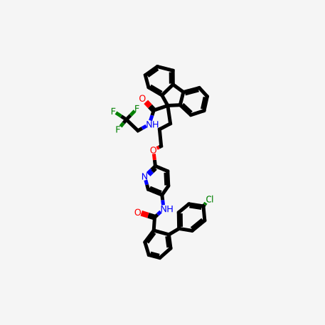 O=C(Nc1ccc(OCCCC2(C(=O)NCC(F)(F)F)c3ccccc3-c3ccccc32)nc1)c1ccccc1-c1ccc(Cl)cc1